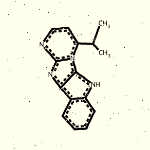 CC(C)c1ccnc2nc3c4ccccc4[nH]c3n12